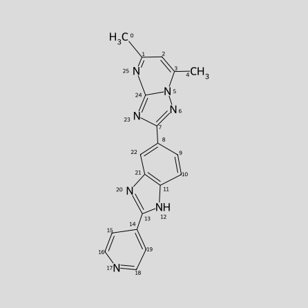 Cc1cc(C)n2nc(-c3ccc4[nH]c(-c5ccncc5)nc4c3)nc2n1